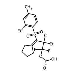 CCc1cc(C)ccc1S(=O)(=O)C(=C1CCCC1)C(Cl)(CC)C(F)(F)O[PH](=O)O